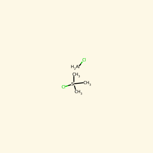 C[Si](C)(C)Cl.[AlH2][Cl]